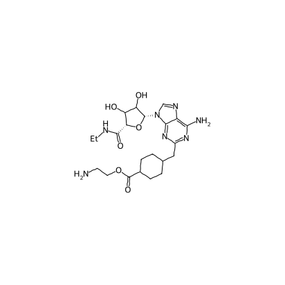 CCNC(=O)[C@H]1O[C@@H](n2cnc3c(N)nc(CC4CCC(C(=O)OCCN)CC4)nc32)C(O)C1O